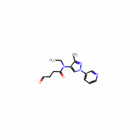 CCN(C(=O)CCC=O)c1cn(-c2cccnc2)nc1C